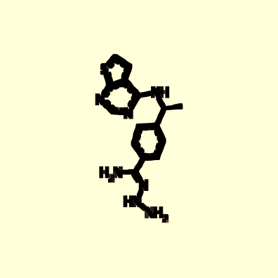 C[C@H](Nc1ncnc2sccc12)c1ccc(/C(N)=N/NN)cc1